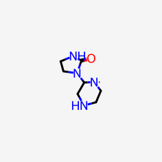 O=C1NCCN1C1CNCC[N]1